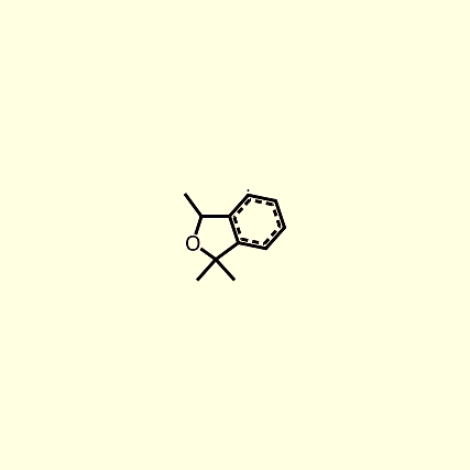 CC1OC(C)(C)c2ccc[c]c21